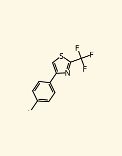 [CH2]c1ccc(-c2csc(C(F)(F)F)n2)cc1